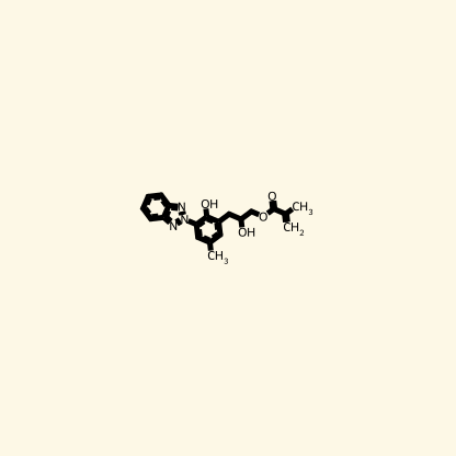 C=C(C)C(=O)OCC(O)Cc1cc(C)cc(-n2nc3ccccc3n2)c1O